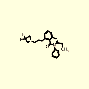 CCc1nc2cccc(CCCN3CC(F)(F)C3)c2c(=O)n1-c1ccccc1